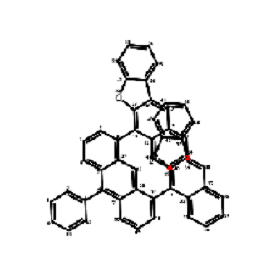 c1ccc(-c2c3cccc(-c4c5ccccc5cc5c4oc4ccccc45)c3cc3c(-c4c5ccccc5cc5c4oc4ccccc45)cccc23)cc1